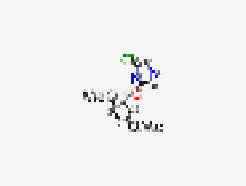 COc1ccc(OC)c(COc2cncc(Cl)n2)c1